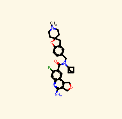 CN1CCC2(CC1)Cc1cc(CN(C(=O)c3cc4c5c(c(N)nc4cc3F)COC5)C34CC(C3)C4)ccc1O2